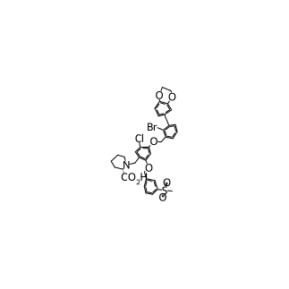 CS(=O)(=O)c1cccc(COc2cc(OCc3cccc(-c4ccc5c(c4)OCCO5)c3Br)c(Cl)cc2CN2CCCC[C@H]2C(=O)O)c1